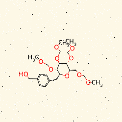 COCOC[C@H]1O[C@@H](Cc2ccc(CO)cc2)[C@H](OCOC)[C@@H](OCOC)[C@@H]1OCOC